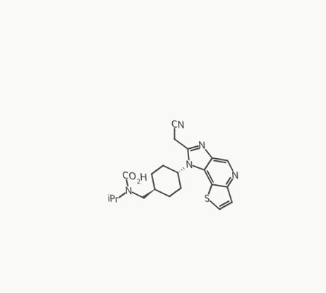 CC(C)N(C[C@H]1CC[C@H](n2c(CC#N)nc3cnc4ccsc4c32)CC1)C(=O)O